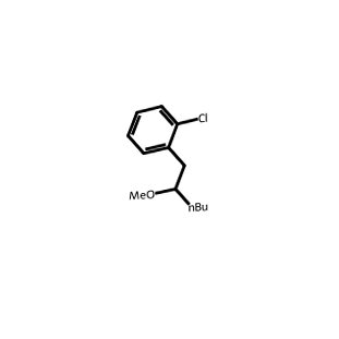 CCCCC(Cc1ccccc1Cl)OC